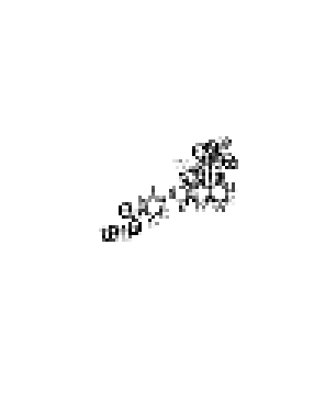 Cc1sc(N(CCc2ccc(C(=O)OC(C)(C)C)cc2)Cc2ccccc2)nc1C(=O)NS(C)(=O)=O